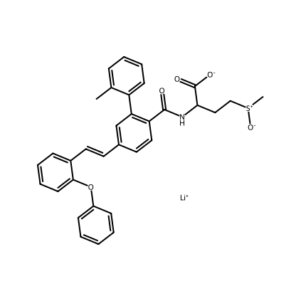 Cc1ccccc1-c1cc(C=Cc2ccccc2Oc2ccccc2)ccc1C(=O)NC(CC[S+](C)[O-])C(=O)[O-].[Li+]